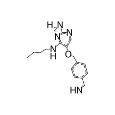 CCCCNc1nc(N)ncc1OCc1ccc(C=N)cc1